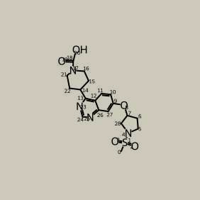 CS(=O)(=O)N1CCC(Oc2ccc3c(C4CCN(C(=O)O)CC4)ncnc3c2)C1